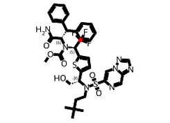 COC(=O)N([C@H](C(N)=O)C(c1ccccc1)c1ccccc1)[C@H](c1ccc([C@@H](CO)N(CCC(C)(C)C)S(=O)(=O)c2cn3ncnc3cn2)s1)C(F)(F)F